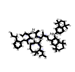 C=C1BC(=C/CC)/C(=C(/C)Cc2ccccc2C(C)CC)N(C2=C/CCC(C)(C)C(=C\C(C)C)/C=C\2C)/C1=C/C(C)=C\Cc1cc2c(cc1Nc1ccc3c(c1)C(C)(C)CCC3(C)C)C(C)(C)CCC2(C)C